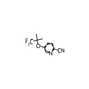 CC(C)(Oc1ccc(C#N)nc1)C(F)(F)F